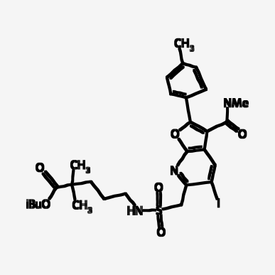 CNC(=O)c1c(-c2ccc(C)cc2)oc2nc(CS(=O)(=O)NCCCC(C)(C)C(=O)OCC(C)C)c(I)cc12